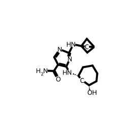 NC(=O)c1cnc(NC23CC(C2)C3)nc1N[C@@H]1CCCC[C@H](O)C1